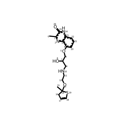 Cc1nc2c(OCC(O)CNCCOC3(C)CC=CS3)cccc2[nH]c1=O